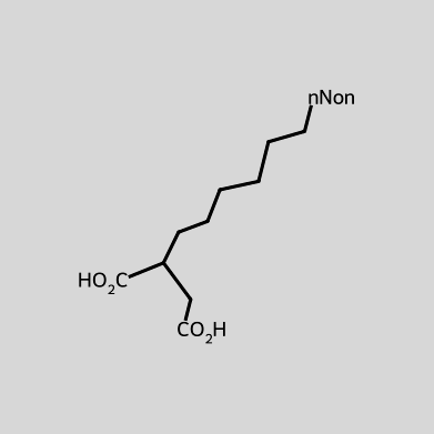 CCCCCCCCCCCCCCCC(CC(=O)O)C(=O)O